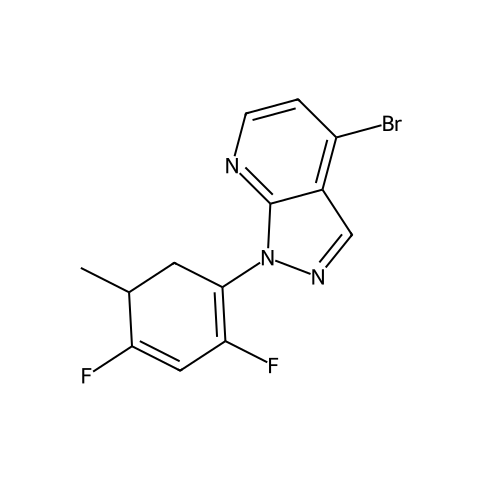 CC1CC(n2ncc3c(Br)ccnc32)=C(F)C=C1F